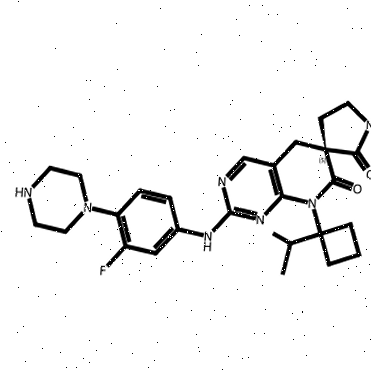 CC(C)C1(N2C(=O)[C@]3(CCNC3=O)Cc3cnc(Nc4ccc(N5CCNCC5)c(F)c4)nc32)CCC1